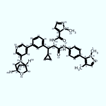 Cc1cnn(C)c1-c1ccc(NC(=O)[C@@H](NC(=O)c2ccnn2C)C(c2cccc(-c3cncc(N4C[C@@H]5C[C@H]4CO5)c3)c2)C2CC2)cc1